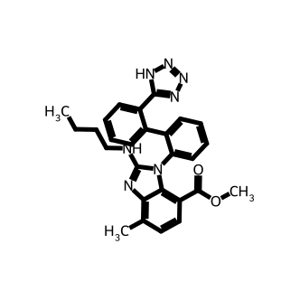 CCCCNc1nc2c(C)ccc(C(=O)OC)c2n1-c1ccccc1-c1ccccc1-c1nnn[nH]1